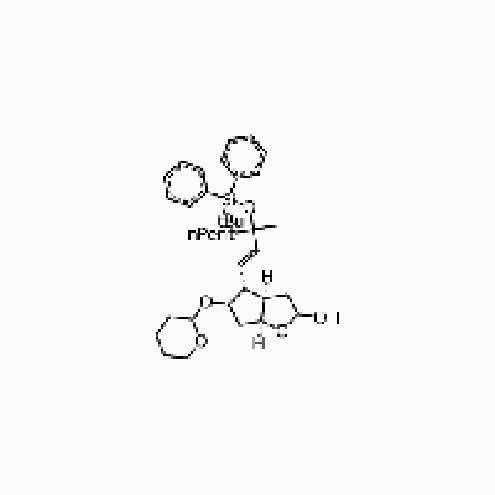 CCCCCC(C)(C=C[C@@H]1[C@H]2CC(O)O[C@H]2C[C@H]1OC1CCCCO1)O[Si](c1ccccc1)(c1ccccc1)C(C)(C)C